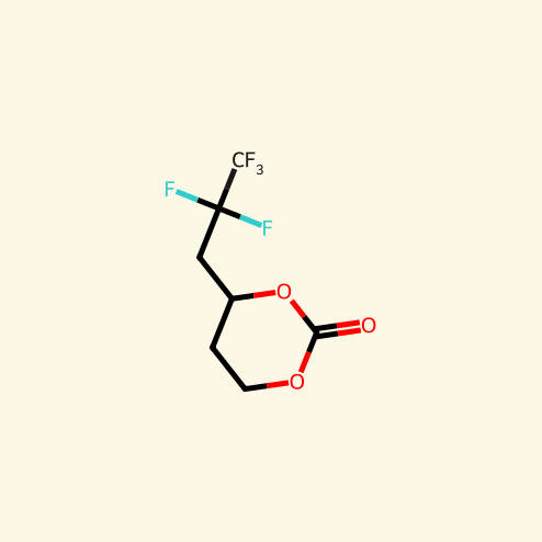 O=C1OCCC(CC(F)(F)C(F)(F)F)O1